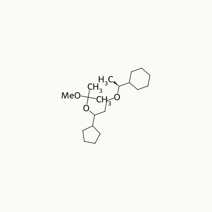 COC(C)(C)OC(CCO[C@@H](C)C1CCCCC1)C1CCCC1